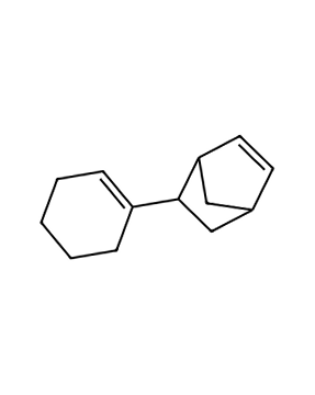 C1=CC2CC1CC2C1=CCCCC1